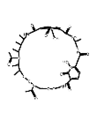 CC(=O)N1CCCNC(=O)c2ccc(n(O)c2=O)C(=O)NC(C)NC(=O)c2ccc(c(=O)n2O)C(=O)NC(C)C(C)C(C)N(C(C)=O)C(C)C(C)CC1